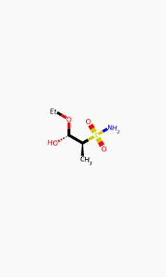 CCO[C@@H](O)[C@H](C)S(N)(=O)=O